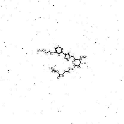 COCCOc1cccc(-c2cn(CC3OC(OCCCCC(=O)ONS)C(C)[C@@H](C)[C@H]3OC(C)=O)nn2)c1